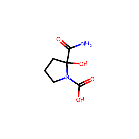 NC(=O)C1(O)CCCN1C(=O)O